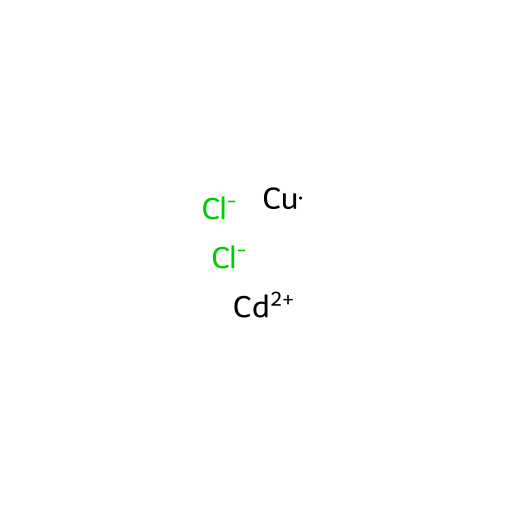 [Cd+2].[Cl-].[Cl-].[Cu]